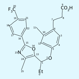 CCC(Oc1ccc(CCC(=O)O)c(C)c1)c1oc(-c2ccc(C(F)(F)F)cc2)nc1C